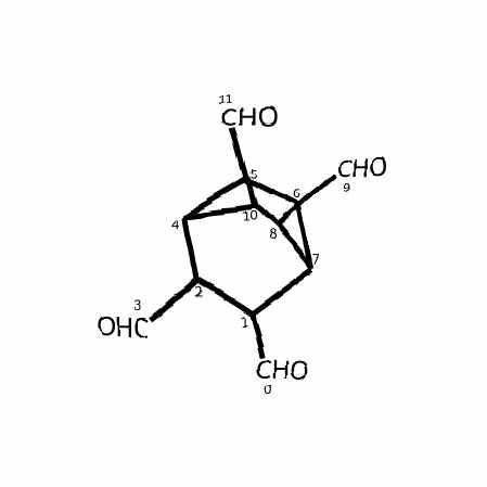 O=CC1C(C=O)C2CCC1C(C=O)C2C=O